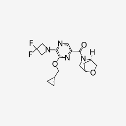 O=C(c1cnc(N2CC(F)(F)C2)c(OCC2CC2)n1)N1CC2C[C@@H]1CO2